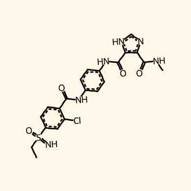 CCS(=N)(=O)c1ccc(C(=O)Nc2ccc(NC(=O)c3[nH]cnc3C(=O)NC)cc2)c(Cl)c1